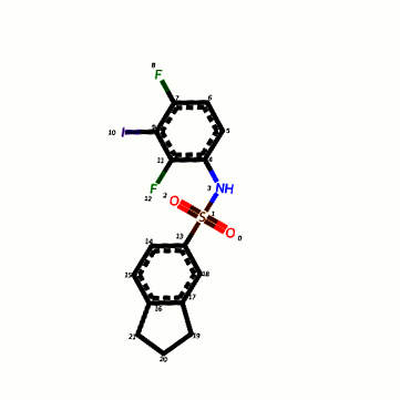 O=S(=O)(Nc1ccc(F)c(I)c1F)c1ccc2c(c1)CCC2